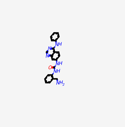 NCc1ccccc1NC(=O)Nc1ccc2c(Nc3ccccc3)ncnc2c1